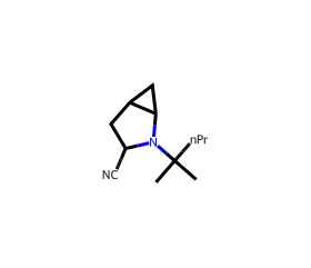 CCCC(C)(C)N1C(C#N)CC2CC21